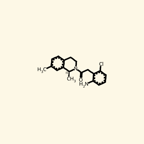 Cc1ccc2c(c1)[C@H](C)N(C(=O)Cc1c(N)cccc1Cl)CC2